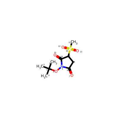 CC(C)(C)ON1C(=O)CC(S(C)(=O)=O)C1=O